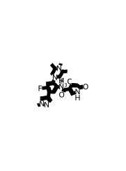 CC1CN(c2cc(F)c(-c3cnn(C)c3)cc2NC(=O)c2c[nH]c(=O)cc2C(F)(F)F)CC(C)N1C